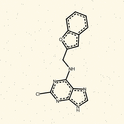 Clc1nc(NCc2cc3ccccc3o2)c2nc[nH]c2n1